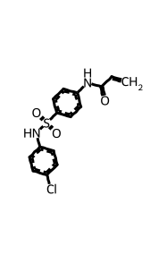 C=CC(=O)Nc1ccc(S(=O)(=O)Nc2ccc(Cl)cc2)cc1